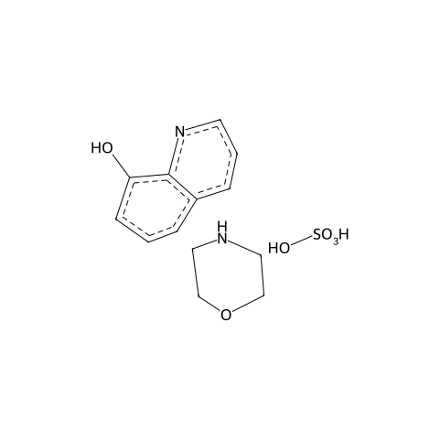 C1COCCN1.O=S(=O)(O)O.Oc1cccc2cccnc12